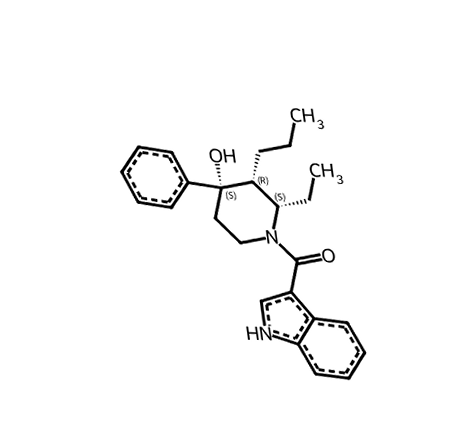 CCC[C@@H]1[C@H](CC)N(C(=O)c2c[nH]c3ccccc23)CC[C@@]1(O)c1ccccc1